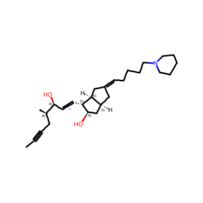 CC#CC[C@@H](C)[C@@H](O)/C=C/[C@@H]1[C@H]2CC(=CCCCCN3CCCCC3)C[C@H]2C[C@H]1O